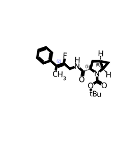 C/C(=C(/F)CNC(=O)[C@@H]1C[C@H]2C[C@H]2N1C(=O)OC(C)(C)C)c1ccccc1